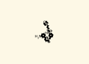 Nc1cccc(-c2ccc(=O)n(Cc3cccc(NC(=O)OCCCN4CCOCC4)c3)n2)c1